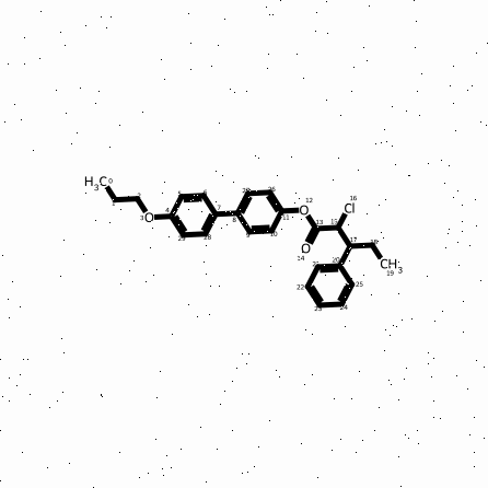 CCCOc1ccc(-c2ccc(OC(=O)C(Cl)C(CC)c3ccccc3)cc2)cc1